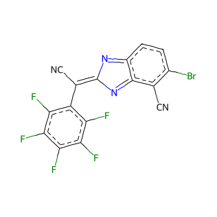 N#C/C(=C1\N=c2ccc(Br)c(C#N)c2=N1)c1c(F)c(F)c(F)c(F)c1F